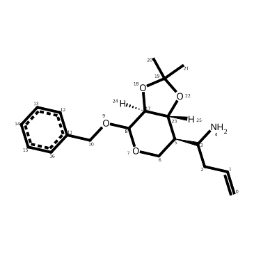 C=CCC(N)[C@H]1COC(OCc2ccccc2)[C@H]2OC(C)(C)O[C@H]12